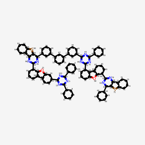 c1ccc(-c2nc(-c3ccccc3)nc(-c3ccc4c(c3)oc3c(-c5nc(-c6cccc(-c7cccc(-c8cccc(-c9nc(-c%10ccccc%10)nc(-c%10cccc%11oc%12c(-c%13nc(-c%14ccccc%14)c%14sc%15ccccc%15c%14n%13)cccc%12c%10%11)n9)c8)c7)c6)c6sc7ccccc7c6n5)cccc34)n2)cc1